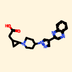 O=C(O)CC1CC1N1CCC(n2cc(-c3cnc4ccccc4n3)cn2)CC1